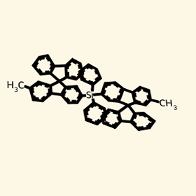 Cc1ccc2c(c1)C1(c3ccccc3-c3ccccc31)c1cc([Si](c3ccccc3)(c3ccccc3)c3ccc4c(c3)C3(c5ccccc5-c5ccccc53)c3cc(C)ccc3-4)ccc1-2